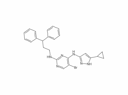 Brc1cnc(NCCC(c2ccccc2)c2ccccc2)nc1Nc1cc(C2CC2)[nH]n1